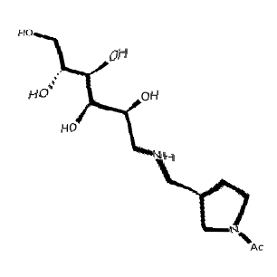 CC(=O)N1CC[C@H](CNC[C@H](O)[C@@H](O)[C@H](O)[C@H](O)CO)C1